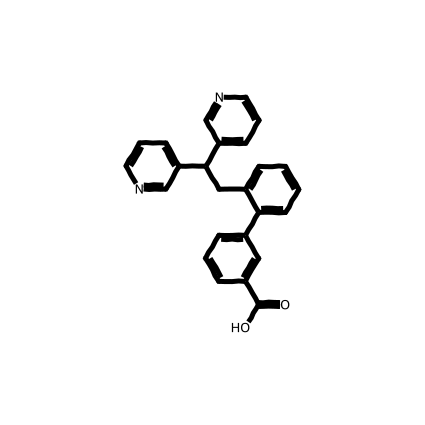 O=C(O)c1cccc(-c2ccccc2CC(c2cccnc2)c2cccnc2)c1